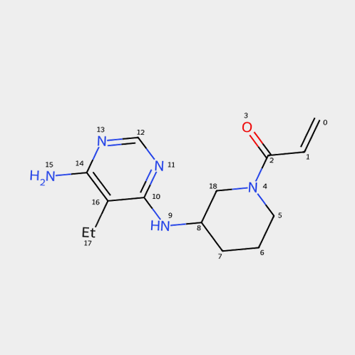 C=CC(=O)N1CCCC(Nc2ncnc(N)c2CC)C1